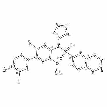 COc1cc(-c2ccc(Cl)c(F)c2)c(F)cc1N(c1ccon1)S(=O)(=O)c1ccc2cnccc2c1